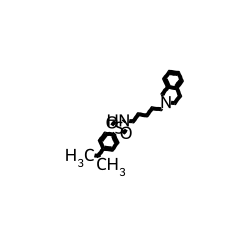 CC(C)c1ccc(S(=O)(=O)NCCCCCN2CCc3ccccc3C2)cc1